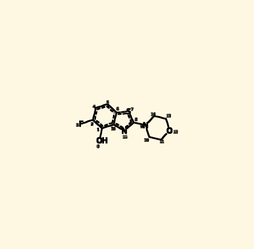 Oc1c(F)ccc2sc(N3CCOCC3)nc12